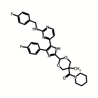 CC1(C(=O)N2CCCCC2)COC(c2nc(-c3ccc(F)cc3)c(-c3ccnc(NCc4ccc(F)cc4)n3)[nH]2)OC1